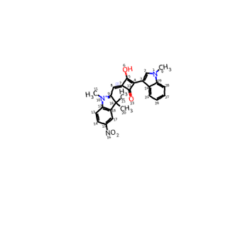 Cn1cc(C2=C(O)/C(=C/C3=[N+](C)c4ccc([N+](=O)[O-])cc4C3(C)C)C2=O)c2ccccc21